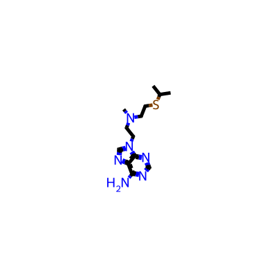 CC(C)SCCN(C)CCn1cnc2c(N)ncnc21